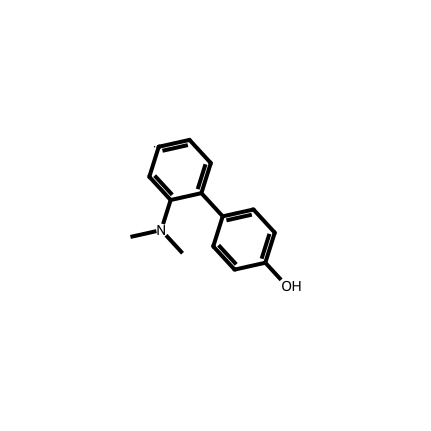 CN(C)c1c[c]ccc1-c1ccc(O)cc1